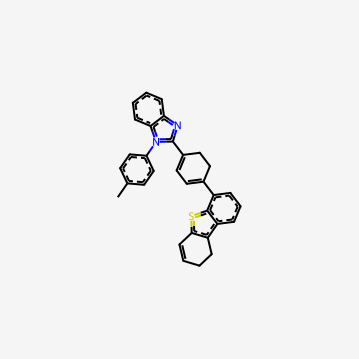 Cc1ccc(-n2c(C3=CC=C(c4cccc5c6c(sc45)C=CCC6)CC3)nc3ccccc32)cc1